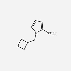 O=C(O)c1cccn1CC1COC1